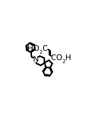 O=C(O)C=CC(=O)O.c1ccc(CN2CCC3(CCc4ccccc43)CC2)cc1